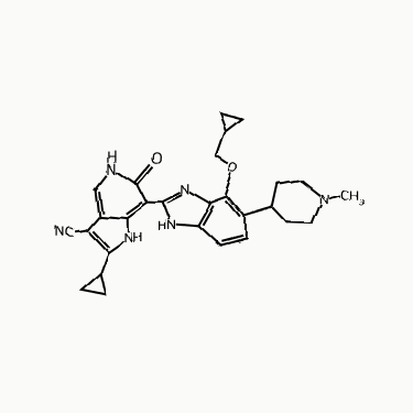 CN1CCC(c2ccc3[nH]c(-c4c(=O)[nH]cc5c(C#N)c(C6CC6)[nH]c45)nc3c2OCC2CC2)CC1